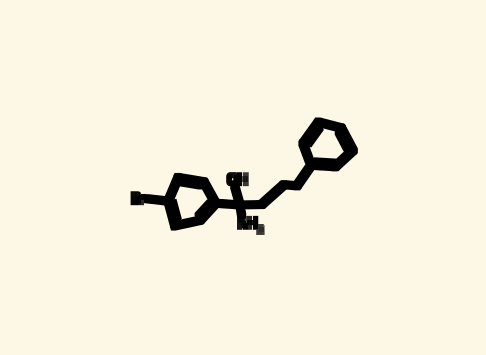 NC(O)(CCCc1ccccc1)c1ccc(Br)cc1